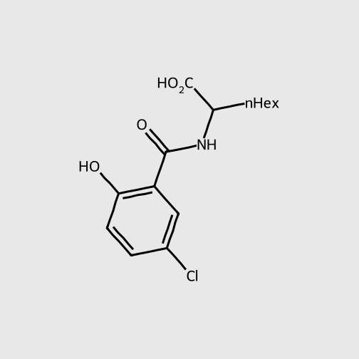 CCCCCCC(NC(=O)c1cc(Cl)ccc1O)C(=O)O